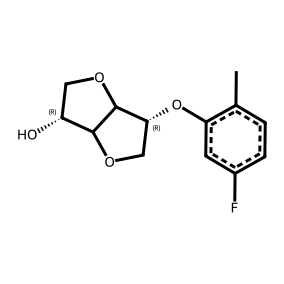 Cc1ccc(F)cc1O[C@@H]1COC2C1OC[C@H]2O